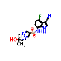 CC(C)(O)Cn1cc(S(=O)(=O)Nc2ccc(F)c3c(C#N)c[nH]c23)cn1